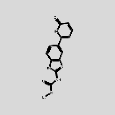 CCNC(=O)Nc1nc2cc(-c3cccc(=O)[nH]3)ccc2[nH]1